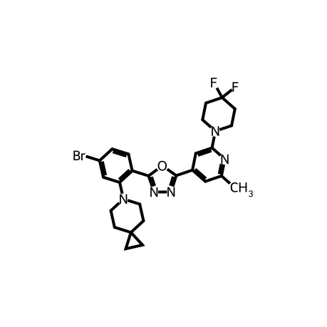 Cc1cc(-c2nnc(-c3ccc(Br)cc3N3CCC4(CC3)CC4)o2)cc(N2CCC(F)(F)CC2)n1